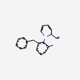 Cc1cccc(Cc2ccccc2)c1N1C=CC=CC1C=N